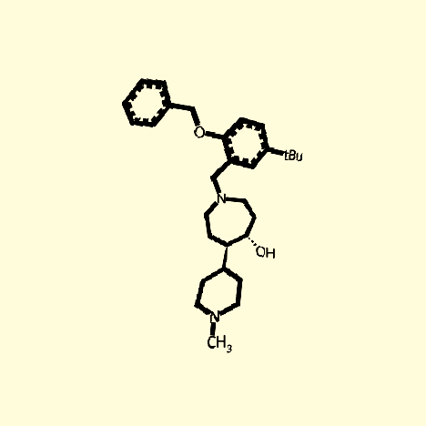 CN1CCC([C@H]2CCN(Cc3cc(C(C)(C)C)ccc3OCc3ccccc3)CC[C@@H]2O)CC1